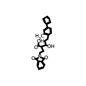 Cc1cc(-c2ccccc2)ccc1CCC(O)C(CCN1C(=O)c2ccccc2C1=O)C(=O)O